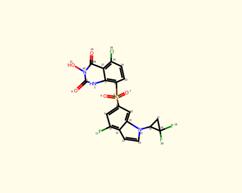 O=c1[nH]c2c(S(=O)(=O)c3cc(F)c4ccn(C5CC5(F)F)c4c3)ccc(Cl)c2c(=O)n1O